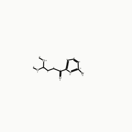 COC(CCC(=O)c1cccc(Br)n1)OC